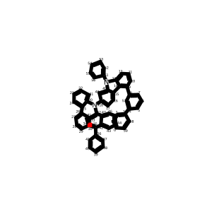 c1ccc(-c2cccc(-c3cccc4c3c3ccc(N(c5ccccc5-c5ccccc5)c5ccc(-c6ccccc6)c6ccccc56)cc3n4-c3ccccc3)c2)cc1